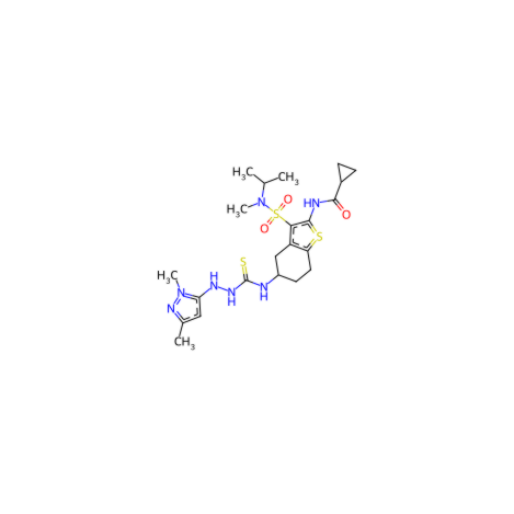 Cc1cc(NNC(=S)NC2CCc3sc(NC(=O)C4CC4)c(S(=O)(=O)N(C)C(C)C)c3C2)n(C)n1